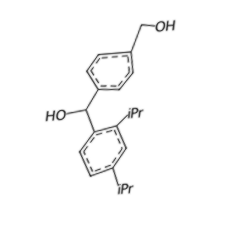 CC(C)c1ccc(C(O)c2ccc(CO)cc2)c(C(C)C)c1